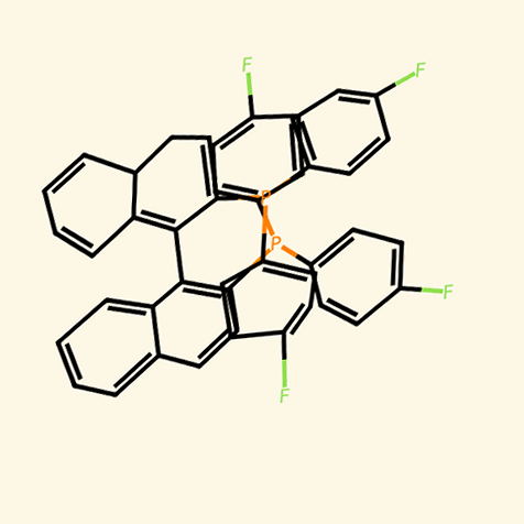 Fc1ccc(P(C2=CCC3C=CC=CC3=C2c2c(P(c3ccc(F)cc3)c3ccc(F)cc3)ccc3ccccc23)c2ccc(F)cc2)cc1